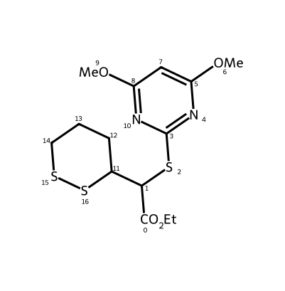 CCOC(=O)C(Sc1nc(OC)cc(OC)n1)C1CCCSS1